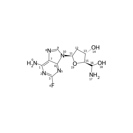 Nc1nc(F)nc2c1ncn2[C@H]1C[C@H](O)[C@@H](C(N)O)O1